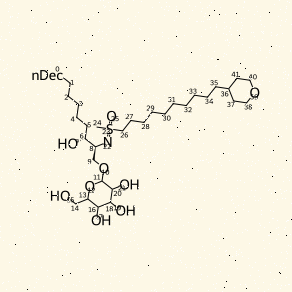 CCCCCCCCCCCCCCC[C@@H](O)[C@H](COC1OC(CO)C(O)C(O)C1O)N=S(C)(=O)CCCCCCCCCCC1CCOCC1